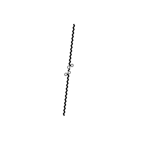 CCCCCCCCCCCCCCCCCCCCCCCC(=O)OCCOC(=O)CCCCCCCCCCCCCCCCCCCCCCC